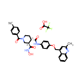 Cc1cc(COc2ccc(NC(=O)[C@H]3CCN(C(=O)c4ccc(C#N)cc4)C[C@@H]3C(=O)NO)cc2)c2ccccc2n1.O=C(O)C(F)(F)F